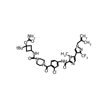 C=C(C)Cn1cc(-c2cnc(C(=O)Nc3ccc(C(=O)N4CCN(C(=O)NC5CC(OC(N)=O)(C(C)(C)C)C5)CC4)c(Cl)c3)n2C)c(C(F)(F)F)n1